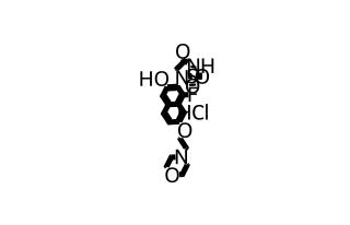 Cl.O=C1CN(c2c(O)cc3ccc(OCCN4CCOCC4)cc3c2F)S(=O)(=O)N1